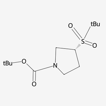 CC(C)(C)OC(=O)N1CC[C@@H](S(=O)(=O)C(C)(C)C)C1